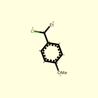 [CH2]CC(Cl)c1ccc(OC)cc1